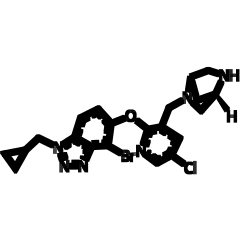 Clc1cnc(Oc2ccc3c(nnn3CC3CC3)c2Br)c(CN2C[C@@H]3CC2CN3)c1